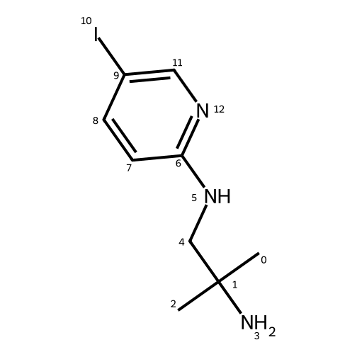 CC(C)(N)CNc1ccc(I)cn1